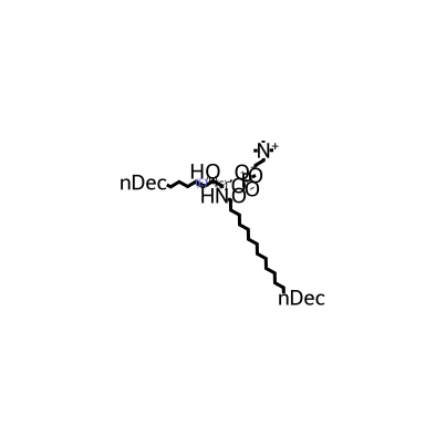 CCCCCCCCCCCCC/C=C/[C@@H](O)[C@H](COP(=O)([O-])OCC[N+](C)(C)C)NC(=O)CCCCCCCCCCCCCCCCCCCCCC